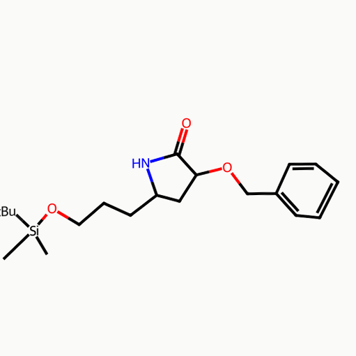 CC(C)(C)[Si](C)(C)OCCCC1CC(OCc2ccccc2)C(=O)N1